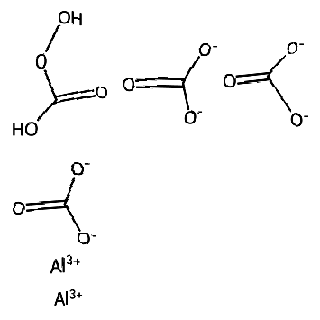 O=C(O)OO.O=C([O-])[O-].O=C([O-])[O-].O=C([O-])[O-].[Al+3].[Al+3]